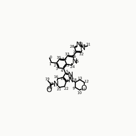 CCc1cc(-c2nn(C3CCOCC3)c3c2CN(C(C)=O)CC3)c2cnc(-c3cnn(C)c3)cc2c1